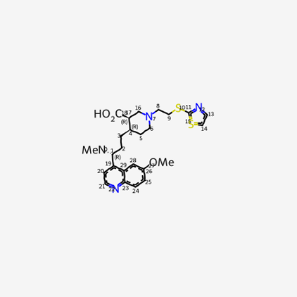 CN[C@H](CC[C@@H]1CCN(CCSc2nccs2)C[C@@H]1C(=O)O)c1ccnc2ccc(OC)cc12